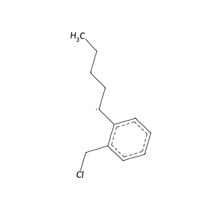 CCCC[CH]c1ccccc1CCl